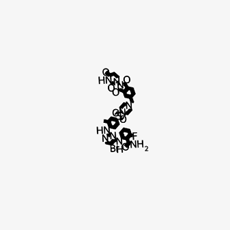 Cc1cc(S(=O)(=O)N2CCN(Cc3ccc4c(c3)C(=O)N(N3CCC(=O)NC3=O)C4=O)CC2)ccc1Nc1ncc(Br)c(Nc2cccc(F)c2C(N)=O)n1